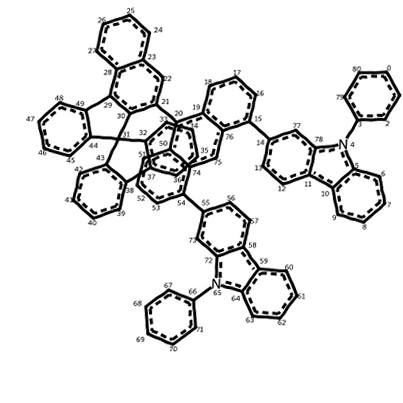 c1ccc(-n2c3ccccc3c3ccc(-c4cccc5c(-c6cc7ccccc7c7c6C6(c8ccccc8-c8ccccc86)c6ccccc6-7)c6cccc(-c7ccc8c9ccccc9n(-c9ccccc9)c8c7)c6cc45)cc32)cc1